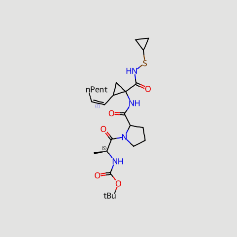 CCCCC/C=C\C1CC1(NC(=O)C1CCCN1C(=O)[C@H](C)NC(=O)OC(C)(C)C)C(=O)NSC1CC1